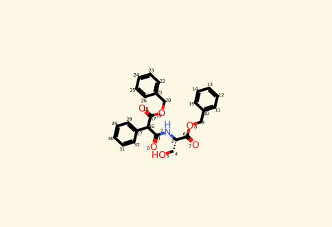 O=C(N[C@@H](CO)C(=O)OCc1ccccc1)C(C(=O)OCc1ccccc1)c1ccccc1